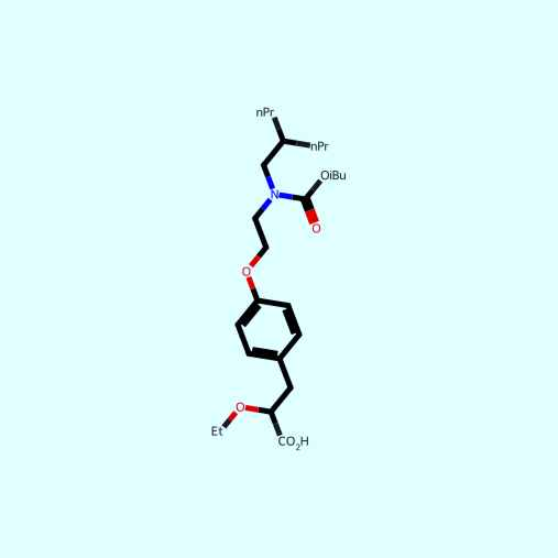 CCCC(CCC)CN(CCOc1ccc(CC(OCC)C(=O)O)cc1)C(=O)OCC(C)C